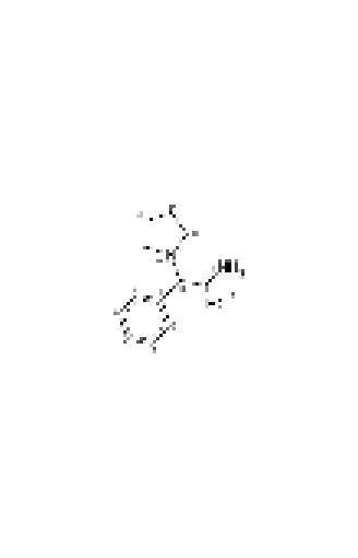 Cl.NCC(c1ccccc1)N1CCCC1